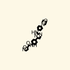 O=C(Nc1ccc(-c2ccnc(Nc3ccc(N4CCOCC4)cc3)n2)cc1)C1CC=NO1